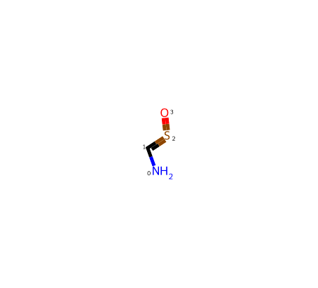 NC=S=O